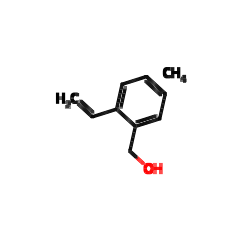 C.C=Cc1ccccc1CO